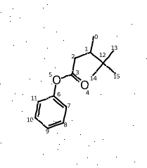 CC(CC(=O)Oc1ccccc1)C(C)(C)C